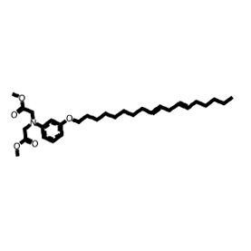 CCCCCC=CCC=CCCCCCCCCOc1cccc(N(CC(=O)OC)CC(=O)OC)c1